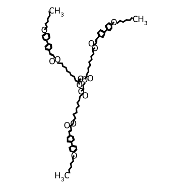 CCCCCCCOc1ccc(-c2ccc(C=CC(=O)OCCCCCCCCCC(=O)OCC(COC(=O)CCCCCCCCCOC(=O)C=Cc3ccc(-c4ccc(OCCCCCCC)cc4)cc3)OC(=O)CCCCCCCCCOC(=O)C=Cc3ccc(-c4ccc(OCCCCCCC)cc4)cc3)cc2)cc1